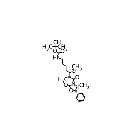 COC(CCCCNC(=O)OC(C)(C)C)[C@@H](C)C(=O)N1C(=O)O[C@@H](c2ccccc2)[C@H]1C